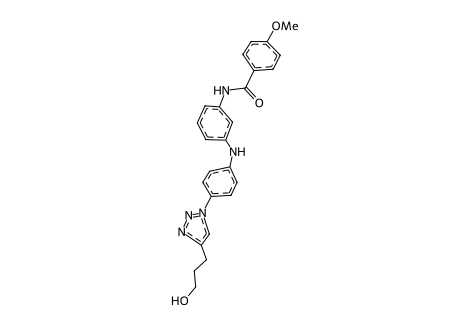 COc1ccc(C(=O)Nc2cccc(Nc3ccc(-n4cc(CCCO)nn4)cc3)c2)cc1